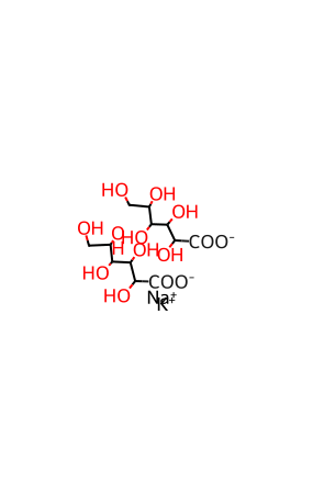 O=C([O-])C(O)C(O)C(O)C(O)CO.O=C([O-])C(O)C(O)C(O)C(O)CO.[K+].[Na+]